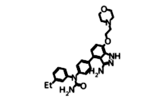 CCc1cccc(N(C(N)=O)c2ccc(-c3ccc(OCCN4CCOCC4)c4[nH]nc(N)c34)cc2)c1